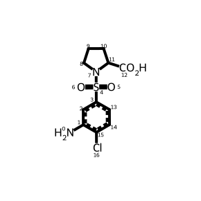 Nc1cc(S(=O)(=O)N2CCCC2C(=O)O)ccc1Cl